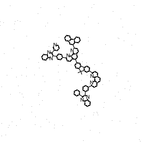 CC1(C)c2ccc(-c3cc4ccc(-c5cc6ccccc6c6ccccc56)nc4c4nc(-c5ccc(-c6nc7ccccc7nc6-c6cccnc6)cc5)ccc34)cc2-c2ccc(-c3ccc4ccc5ccc(-c6cccc(-c7nc8ccccc8nc7-c7ccccc7)c6)nc5c4n3)cc21